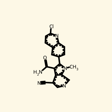 Cn1c(-c2ccc3nc(Cl)ccc3c2)c(C(N)=O)c2c(C#N)cncc21